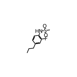 CCCc1ccc(NS(C)(=O)=O)c(F)c1